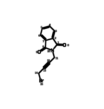 O=C1c2ccccc2C(=O)N1CC#CCBr